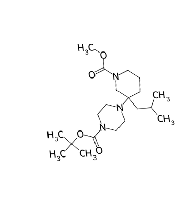 COC(=O)N1CCCC(CC(C)C)(N2CCN(C(=O)OC(C)(C)C)CC2)C1